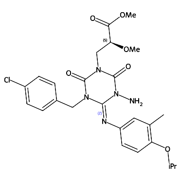 COC(=O)[C@H](Cn1c(=O)n(N)/c(=N\c2ccc(OC(C)C)c(C)c2)n(Cc2ccc(Cl)cc2)c1=O)OC